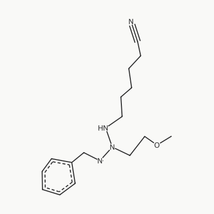 COCCN([N]Cc1ccccc1)NCCCCCC#N